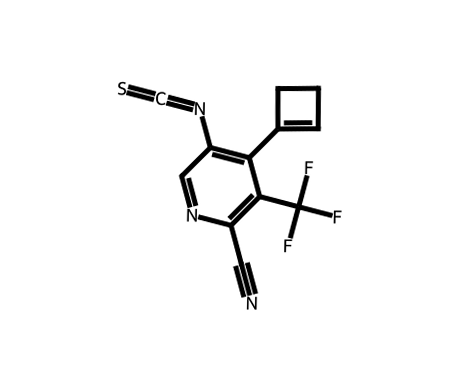 N#Cc1ncc(N=C=S)c(C2=CCC2)c1C(F)(F)F